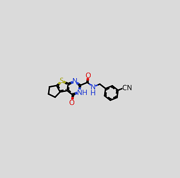 N#Cc1cccc(CNC(=O)c2nc3sc4c(c3c(=O)[nH]2)CCC4)c1